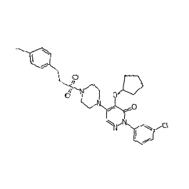 Cc1ccc(CCS(=O)(=O)N2CCN(c3cnn(-c4cccc(Cl)c4)c(=O)c3OC3CCCC3)CC2)cc1